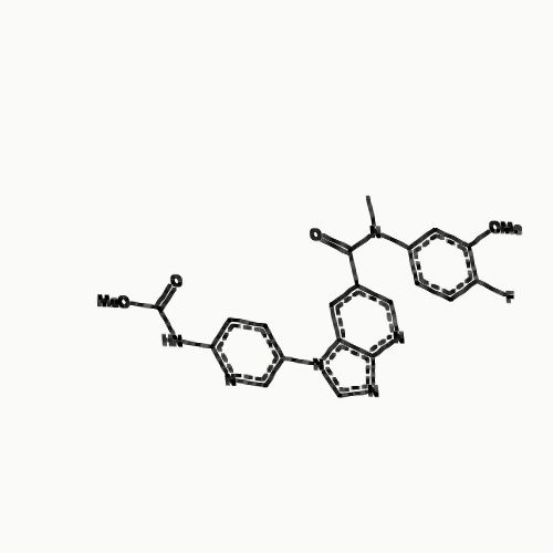 COC(=O)Nc1ccc(-n2cnc3ncc(C(=O)N(C)c4ccc(F)c(OC)c4)cc32)cn1